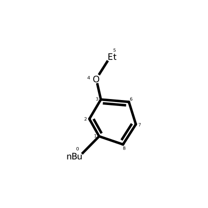 CCCCc1[c]c(OCC)ccc1